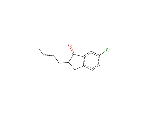 CC=CCC1Cc2ccc(Br)cc2C1=O